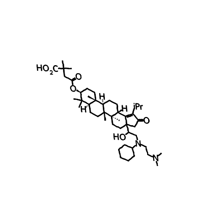 CC(C)C1=C2[C@H]3CC[C@@H]4[C@@]5(C)CC[C@H](OC(=O)CC(C)(C)C(=O)O)C(C)(C)[C@@H]5CC[C@@]4(C)[C@]3(C)CCC2(C(O)CN(CCN(C)C)C2CCCCC2)CC1=O